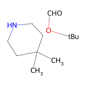 CC(C)(C)OC=O.CC1(C)CCNCC1